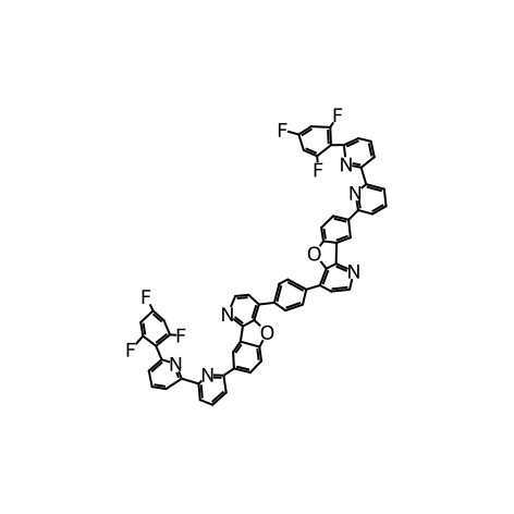 Fc1cc(F)c(-c2cccc(-c3cccc(-c4ccc5oc6c(-c7ccc(-c8ccnc9c8oc8ccc(-c%10cccc(-c%11cccc(-c%12c(F)cc(F)cc%12F)n%11)n%10)cc89)cc7)ccnc6c5c4)n3)n2)c(F)c1